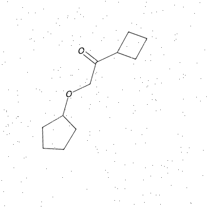 O=C(COC1CCCC1)C1CCC1